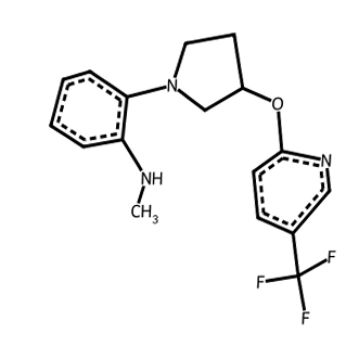 CNc1ccccc1N1CCC(Oc2ccc(C(F)(F)F)cn2)C1